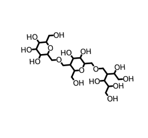 OCC(O)C(O)C(COCC1OC(CO)C(COCC2OC(CO)C(O)C(O)C2O)C(O)C1O)C(O)CO